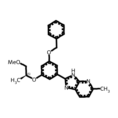 COC[C@H](C)Oc1cc(OCc2ccccc2)cc(-c2nc3ccc(C)nc3[nH]2)c1